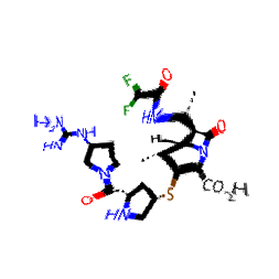 C[C@@H](NC(=O)C(F)F)[C@H]1C(=O)N2C(C(=O)O)=C(S[C@@H]3CN[C@H](C(=O)N4CC[C@H](NC(=N)N)C4)C3)[C@H](C)[C@H]12